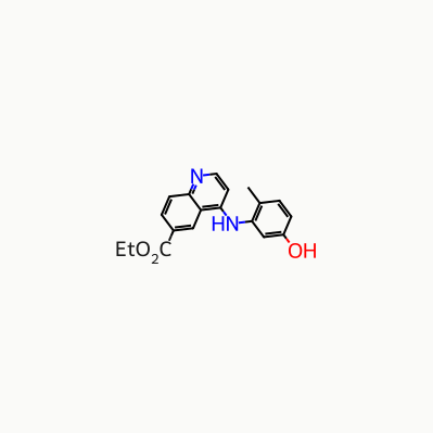 CCOC(=O)c1ccc2nccc(Nc3cc(O)ccc3C)c2c1